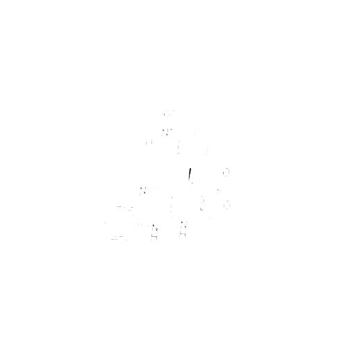 O=C1OCC2=C1[C@H](c1cccc([N+](=O)[O-])c1)C1C=Nc3ccccc3NC1N2